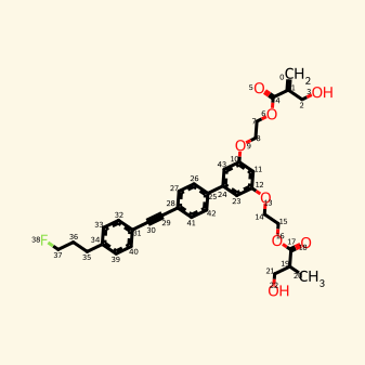 C=C(CO)C(=O)OCCOc1cc(OCCOC(=O)C(C)CO)cc(-c2ccc(C#Cc3ccc(CCCF)cc3)cc2)c1